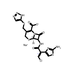 Nc1nc(/C(=C\Cl)C(=O)NC2C(=O)N3C(C(=O)[O-])=C(CSc4cnn[nH]4)CS[C@H]23)cs1.[Na+]